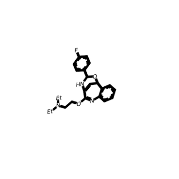 CCN(CC)CCOC1=Nc2ccccc2C2C=C1NC(c1ccc(F)cc1)O2